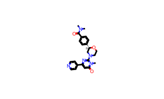 CN(C)C(=O)c1ccc([C@H]2CN(c3nc(-c4ccncc4)cc(=O)n3C)CCO2)cc1